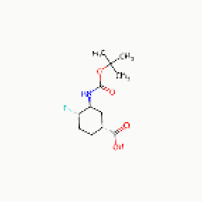 CC(C)(C)OC(=O)N[C@H]1C[C@H](C(=O)O)CC[C@@H]1F